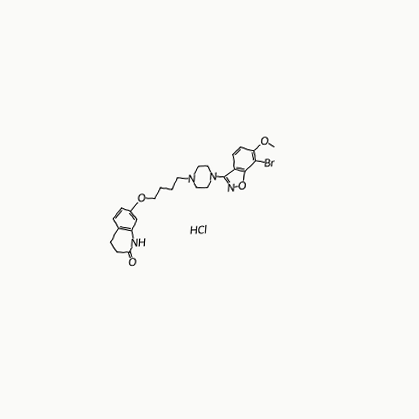 COc1ccc2c(N3CCN(CCCCOc4ccc5c(c4)NC(=O)CC5)CC3)noc2c1Br.Cl